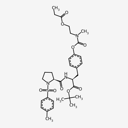 CCC(=O)OCCN(C)C(=O)Oc1ccc(C[C@H](NC(=O)[C@@H]2CCCN2S(=O)(=O)c2ccc(C)cc2)C(=O)OC(C)(C)C)cc1